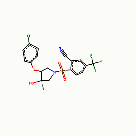 C[C@@]1(O)CN(S(=O)(=O)c2ccc(C(F)(F)F)cc2C#N)C[C@@H]1Oc1ccc(Cl)cc1